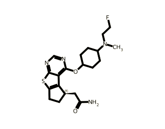 CN(CCF)C1CCC(Oc2ncnc3sc4c(c23)[C@@H](CC(N)=O)CC4)CC1